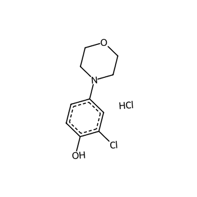 Cl.Oc1ccc(N2CCOCC2)cc1Cl